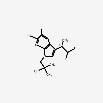 CC(C)(C)Cn1cc([C@H](N)C(F)F)c2cc(F)c(Cl)nc21